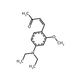 CCN(CC)c1ccc(/C=C\C(C)=O)c(OC)c1